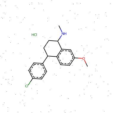 CNC1CCC(c2ccc(Cl)cc2)c2ccc(OC)cc21.Cl